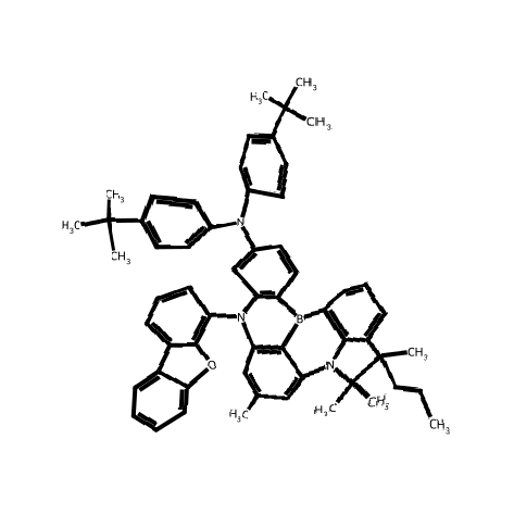 CCCC1(C)c2cccc3c2N(c2cc(C)cc4c2B3c2ccc(N(c3ccc(C(C)(C)C)cc3)c3ccc(C(C)(C)C)cc3)cc2N4c2cccc3c2oc2ccccc23)C1(C)C